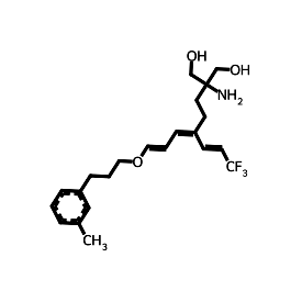 Cc1cccc(CCCO/C=C/C=C(\C=C\C(F)(F)F)CCC(N)(CO)CO)c1